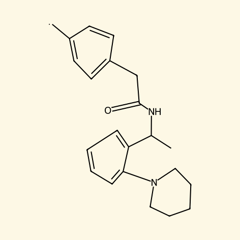 [CH2]c1ccc(CC(=O)NC(C)c2ccccc2N2CCCCC2)cc1